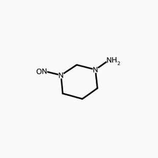 NN1CCCN(N=O)C1